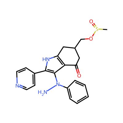 CS(=O)OCC1CC(=O)c2c([nH]c(-c3ccncc3)c2N(N)c2ccccc2)C1